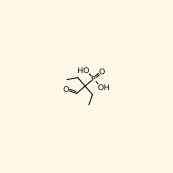 CCC(C=O)(CC)P(=O)(O)O